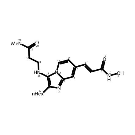 CCCCCCc1nc2cc(C=CC(=O)NO)ccn2c1NCCC(=O)NC